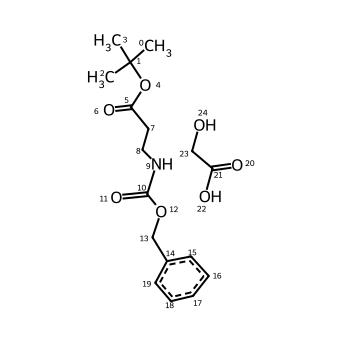 CC(C)(C)OC(=O)CCNC(=O)OCc1ccccc1.O=C(O)CO